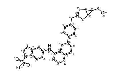 CCS(=O)(=O)n1ccc2cc(Nc3ncnc4ccc(-c5ccc(CN6CC7C(CO)C7C6)cc5)cc34)ccc21